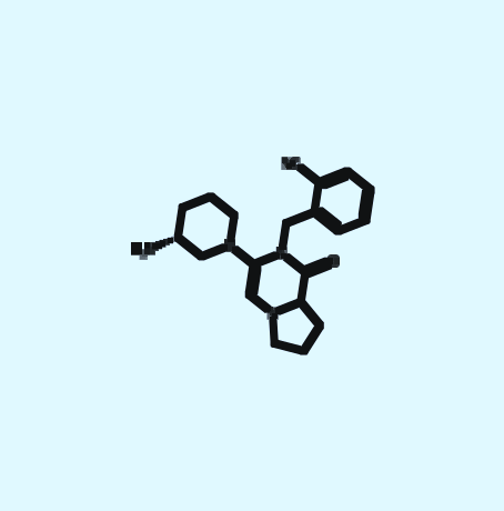 N#Cc1ccccc1CN1C(=O)C2CCCN2C=C1N1CCC[C@@H](N)C1